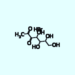 Br.CC(=O)C(=O)C(O)C(O)C(O)CO